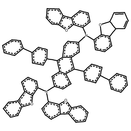 C1=CC2Oc3c(cccc3N(c3ccc4c(-c5ccc(-c6ccccc6)cc5)c5cc(N(c6cccc7c6oc6ccccc67)c6cccc7c6oc6ccccc67)ccc5c(-c5ccc(-c6ccccc6)cc5)c4c3)c3cccc4c3oc3ccccc34)C2C=C1